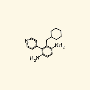 Nc1ccc(N)c(-c2ccncc2)c1CC1CCCCC1